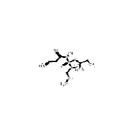 C=CCC(=O)N(C)P(=O)(SC(C)CC)N(C)COC